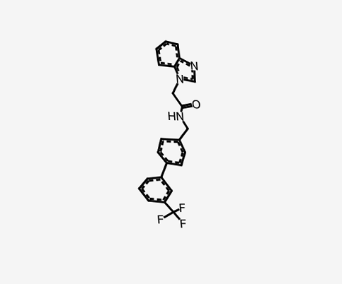 O=C(Cn1cnc2ccccc21)NCc1ccc(-c2cccc(C(F)(F)F)c2)cc1